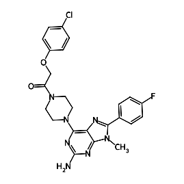 Cn1c(-c2ccc(F)cc2)nc2c(N3CCN(C(=O)COc4ccc(Cl)cc4)CC3)nc(N)nc21